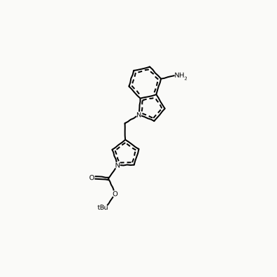 CC(C)(C)OC(=O)n1ccc(Cn2ccc3c(N)cccc32)c1